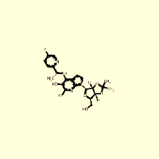 C[C@@H](Nc1c(C#N)c(Cl)nc2c1ccn2[C@@H]1O[C@H](CO)[C@H]2OC(C)(C)O[C@H]21)c1ccc(F)cn1